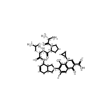 CC(C)C[C@H](NC(=O)[C@@H]1CCCN1C(=O)[C@H](C)N)C(=O)NC1C=CCC2CN(c3c(F)cc4c(=O)c(C(=O)O)cn(C5CC5)c4c3Cl)CC21